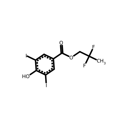 CC(F)(F)COC(=O)c1cc(I)c(O)c(I)c1